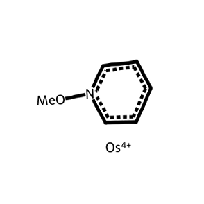 CO[n+]1ccccc1.[Os+4]